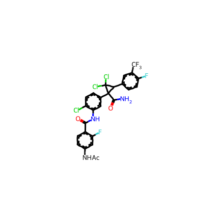 CC(=O)Nc1ccc(C(=O)Nc2cc(C3(C(N)=O)C(c4ccc(F)c(C(F)(F)F)c4)C3(Cl)Cl)ccc2Cl)c(F)c1